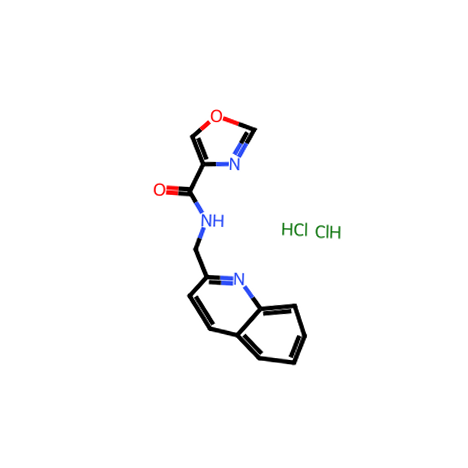 Cl.Cl.O=C(NCc1ccc2ccccc2n1)c1cocn1